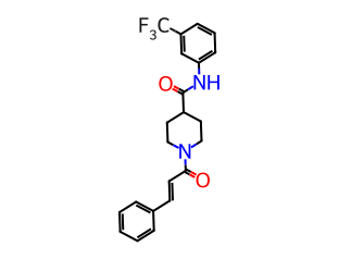 O=C(Nc1cccc(C(F)(F)F)c1)C1CCN(C(=O)/C=C/c2ccccc2)CC1